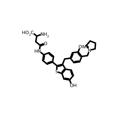 COc1cc(Cc2c(-c3ccc(NC(=O)CC(N)C(=O)O)cc3)sc3cc(O)ccc23)ccc1CN1CCCC1